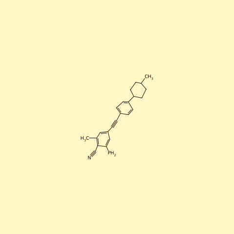 Cc1cc(C#Cc2ccc(C3CCC(C)CC3)cc2)cc(P)c1C#N